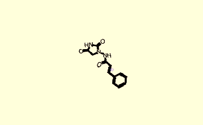 O=C(/C=C/c1ccccc1)NN1CC(=O)NC1=O